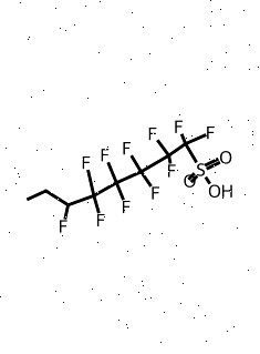 CCC(F)C(F)(F)C(F)(F)C(F)(F)C(F)(F)C(F)(F)S(=O)(=O)O